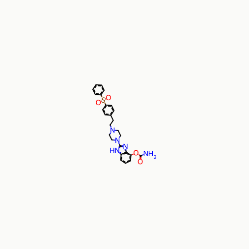 NC(=O)Oc1cccc2[nH]c(N3CCN(CCc4ccc(S(=O)(=O)c5ccccc5)cc4)CC3)nc12